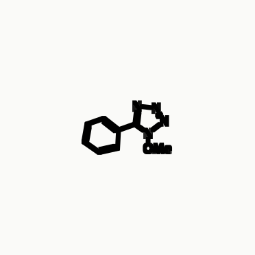 COn1nnnc1-c1ccccc1